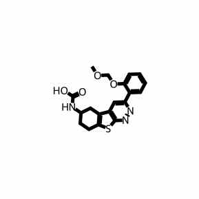 COCOc1ccccc1-c1cc2c3c(sc2nn1)CCC(NC(=O)O)C3